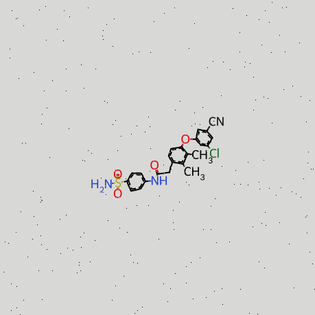 Cc1c(CC(=O)Nc2ccc(S(N)(=O)=O)cc2)ccc(Oc2cc(Cl)cc(C#N)c2)c1C